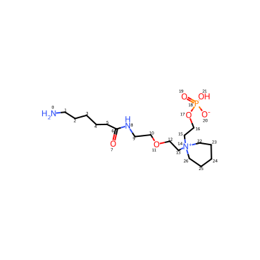 NCCCCCC(=O)NCCOCC[N+]1(CCOP(=O)([O-])O)CCCCC1